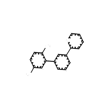 N#Cc1ccc(C#N)c(-c2cccc(-c3ccccn3)c2)c1